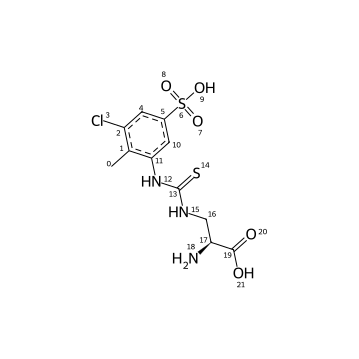 Cc1c(Cl)cc(S(=O)(=O)O)cc1NC(=S)NC[C@H](N)C(=O)O